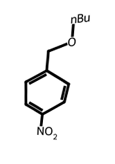 CCCCOCc1ccc([N+](=O)[O-])cc1